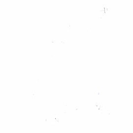 CC/C=C(\C/C=C(\C/C=C\C/C=C\CCCCCC[C]=O)[N+](=O)[O-])[N+](=O)[O-]